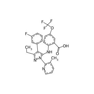 CCc1nn(-c2ncccc2C)c(Nc2ccc(OC(F)(F)F)cc2C(=O)O)c1-c1cccc(F)c1